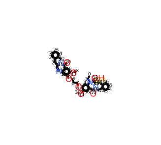 CCN1c2cc(OCCCOc3cc4c(cc3OC)C(=O)N3Cc5ccccc5CC3C=N4)c(OC)cc2C(=O)N2Cc3ccccc3CC2(S)C1O